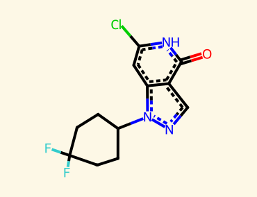 O=c1[nH]c(Cl)cc2c1cnn2C1CCC(F)(F)CC1